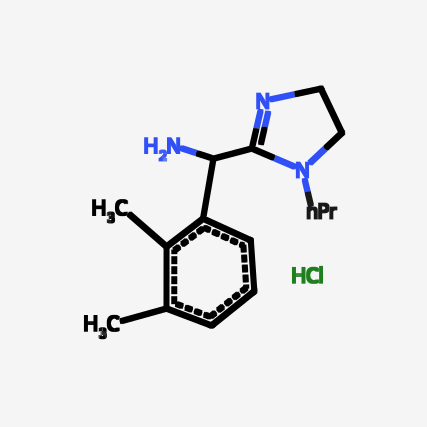 CCCN1CCN=C1C(N)c1cccc(C)c1C.Cl